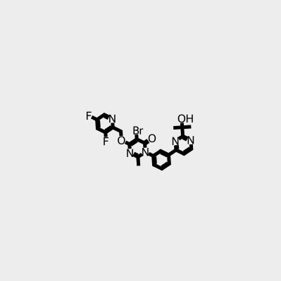 Cc1nc(OCc2ncc(F)cc2F)c(Br)c(=O)n1-c1cccc(-c2ccnc(C(C)(C)O)n2)c1